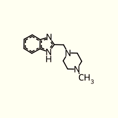 CN1CCN(Cc2nc3ccccc3[nH]2)CC1